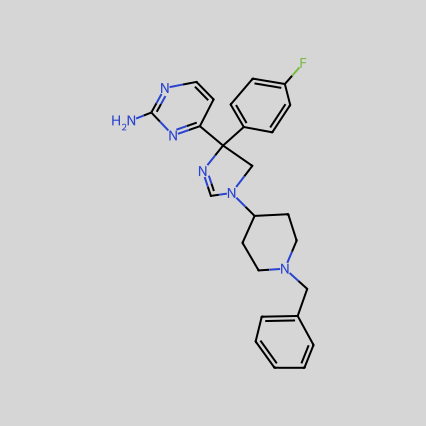 Nc1nccc(C2(c3ccc(F)cc3)CN(C3CCN(Cc4ccccc4)CC3)C=N2)n1